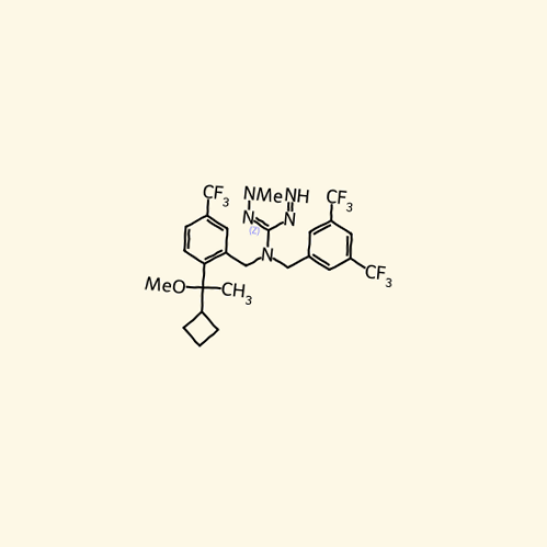 CN/N=C(\N=N)N(Cc1cc(C(F)(F)F)cc(C(F)(F)F)c1)Cc1cc(C(F)(F)F)ccc1C(C)(OC)C1CCC1